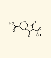 O=C(O)C1CCC2C(=O)C(C(=O)O)C(=O)N2C1